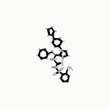 Cc1ccccc1S(=O)(=O)NC(=O)N[C@@H](Cc1ccccc1)c1nccn1-c1ccc(C2=CCC=C2)cc1